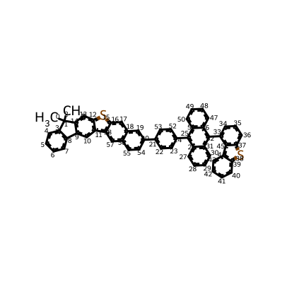 CC1(C)c2ccccc2-c2cc3c(cc21)sc1cc2cc(-c4ccc(-c5c6ccccc6c(-c6cccc7sc8ccccc8c67)c6ccccc56)cc4)ccc2cc13